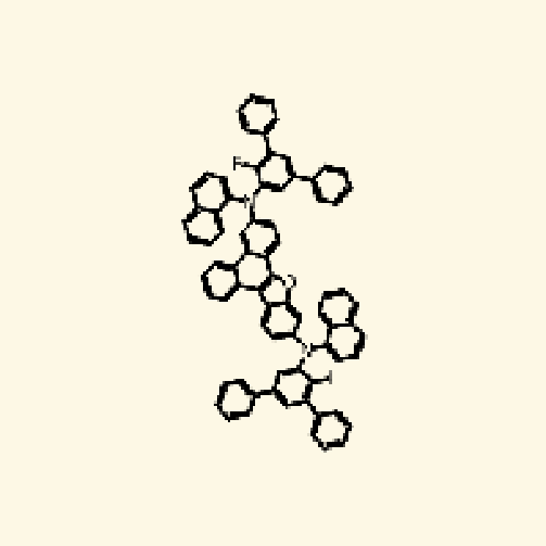 Fc1c(-c2ccccc2)cc(-c2ccccc2)cc1N(c1ccc2c(c1)c1ccccc1c1c3ccc(N(c4cc(-c5ccccc5)cc(-c5ccccc5)c4I)c4cccc5ccccc45)cc3oc21)c1cccc2ccccc12